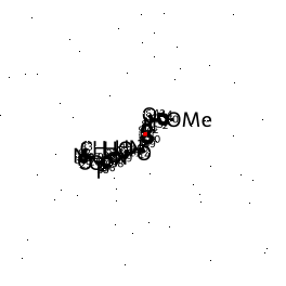 COc1ccc(C(=O)N2CCc3cc(C(=O)NCC(O)CN4CCc5cc(OCc6ocnc6C)c(F)cc5C4)ccc3C2)cc1